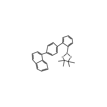 CC1(C)OB(c2ccccc2-c2ccc(-c3cccc4ccccc34)cc2)OC1(C)C